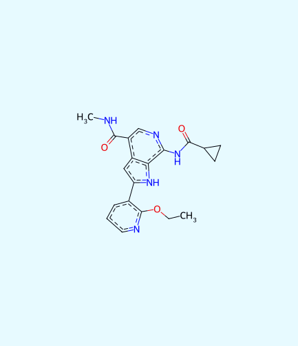 CCOc1ncccc1-c1cc2c(C(=O)NC)cnc(NC(=O)C3CC3)c2[nH]1